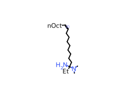 CCCCCCCC/C=C\CCCCCCCCC(N)(CC)N(C)C